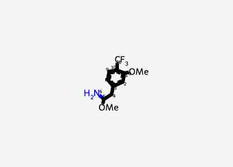 COc1cc(CC(N)OC)ccc1C(F)(F)F